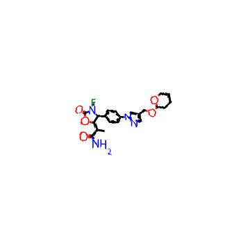 CC(C(N)=O)C1OC(=O)N(F)C1c1ccc(-n2cc(COC3CCCCO3)cn2)cc1